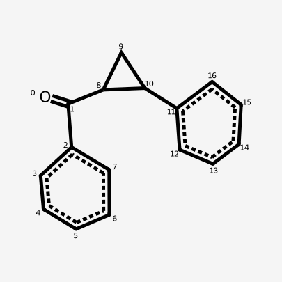 O=C(c1ccccc1)C1CC1c1ccccc1